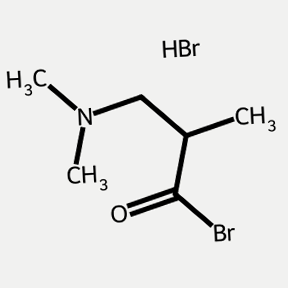 Br.CC(CN(C)C)C(=O)Br